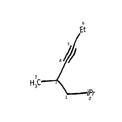 [CH2]C(C)CC(C)C#CCC